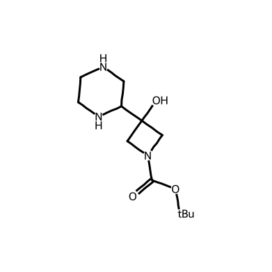 CC(C)(C)OC(=O)N1CC(O)(C2CNCCN2)C1